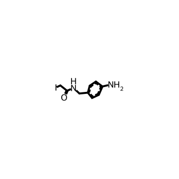 Nc1ccc(CNC(=O)CI)cc1